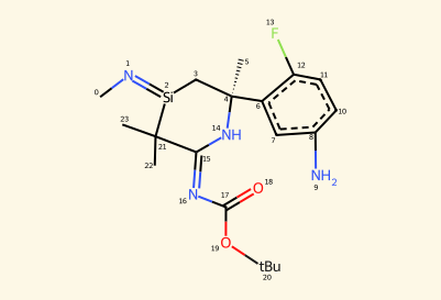 C/N=[Si]1/C[C@@](C)(c2cc(N)ccc2F)N/C(=N\C(=O)OC(C)(C)C)C1(C)C